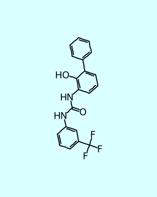 O=C(Nc1cccc(C(F)(F)F)c1)Nc1cccc(-c2ccccc2)c1O